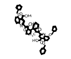 Cc1c(-c2cc(C(=O)O)c3c(OCc4ccccc4)cccc3n2)oc2cccc(-c3cccc4oc(-c5cc(C(=O)O)c6c(OCc7ccccc7)ccc(OCc7ccccc7)c6n5)c(C)c34)c12